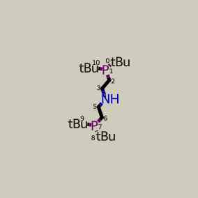 CC(C)(C)P(CCNCCP(C(C)(C)C)C(C)(C)C)C(C)(C)C